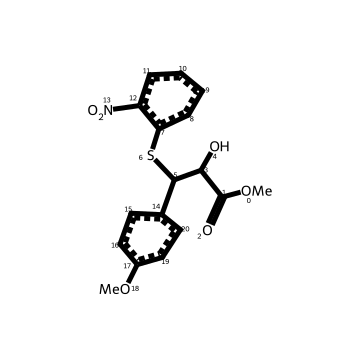 COC(=O)C(O)C(Sc1ccccc1[N+](=O)[O-])c1ccc(OC)cc1